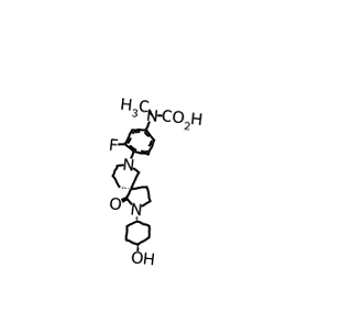 CN(C(=O)O)c1ccc(N2CCC[C@@]3(CCN([C@H]4CC[C@H](O)CC4)C3=O)C2)c(F)c1